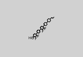 C/C=C/C1CCC(C2CC=C(c3ccc(-c4ccc(-c5ccc(O)c(F)c5F)cc4)c(F)c3F)CC2)CC1